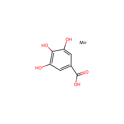 O=C(O)c1cc(O)c(O)c(O)c1.[Mn]